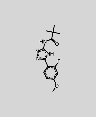 COc1ccc(-c2nnc(NC(=O)C(C)(C)C)[nH]2)c(F)c1